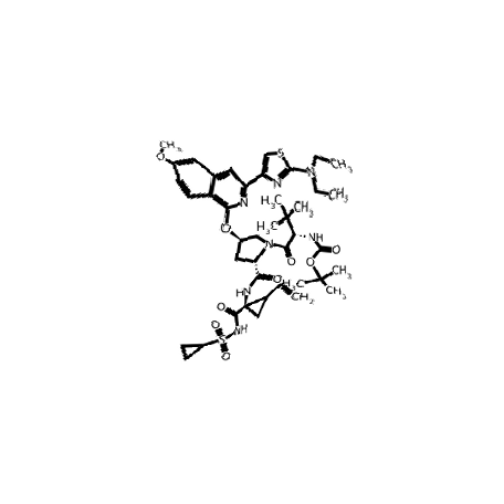 C=CC1C[C@]1(NC(=O)[C@@H]1C[C@@H](Oc2nc(-c3csc(N(CC)CC)n3)cc3cc(OC)ccc23)CN1C(=O)[C@@H](NC(=O)OC(C)(C)C)C(C)(C)C)C(=O)NS(=O)(=O)C1CC1